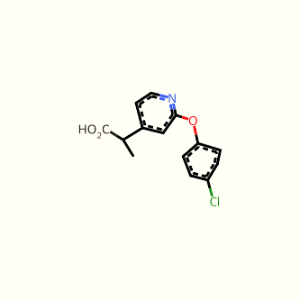 CC(C(=O)O)c1ccnc(Oc2ccc(Cl)cc2)c1